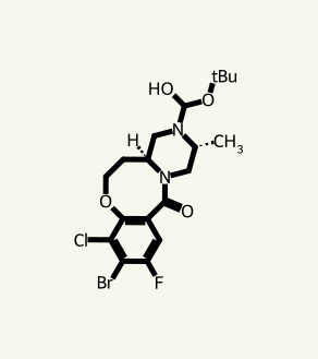 C[C@@H]1CN2C(=O)c3cc(F)c(Br)c(Cl)c3OCC[C@H]2CN1C(O)OC(C)(C)C